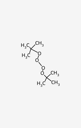 CC(C)(C)OOOOC(C)(C)C